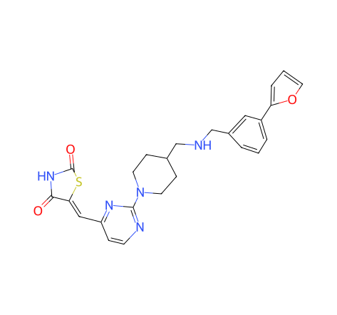 O=C1NC(=O)C(=Cc2ccnc(N3CCC(CNCc4cccc(-c5ccco5)c4)CC3)n2)S1